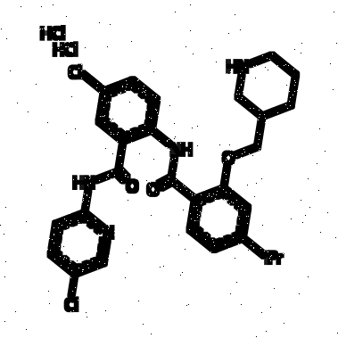 CC(C)c1ccc(C(=O)Nc2ccc(Cl)cc2C(=O)Nc2ccc(Cl)cn2)c(OCC2CCCNC2)c1.Cl.Cl